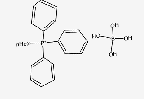 CCCCCC[P+](c1ccccc1)(c1ccccc1)c1ccccc1.O[B-](O)(O)O